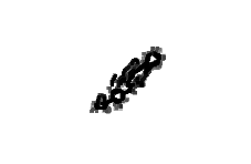 O=c1[nH]c(Cc2ccc(-c3ccco3)cc2)nc2ccccc12